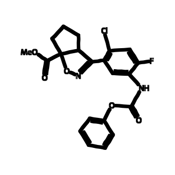 COC(=O)C12CCCC1C(c1cc(NC(=O)Oc3ccccc3)c(F)cc1Cl)=NO2